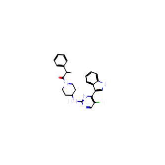 CC(C(=O)N1CCC(Nc2ncc(Cl)c(-c3c[nH]c4ccccc34)n2)CC1)c1ccccc1